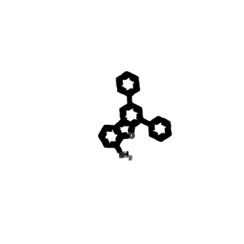 Bc1cccc2c1oc1c(-c3ccccc3)cc(-c3ccccc3)cc12